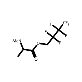 CNC(C)C(=O)OCC(F)(F)C(F)(F)C(F)(F)F